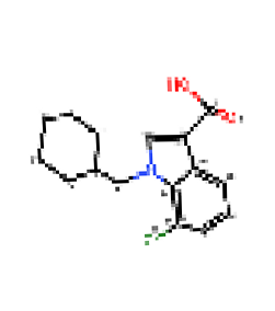 O=C(O)c1cn(CC2CCCCC2)c2c(Cl)cccc12